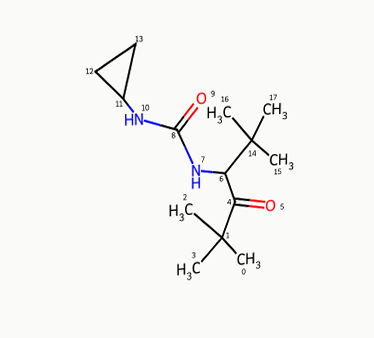 CC(C)(C)C(=O)C(NC(=O)NC1CC1)C(C)(C)C